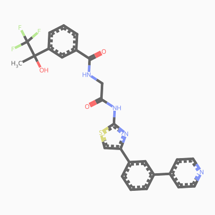 CC(O)(c1cccc(C(=O)NCC(=O)Nc2nc(-c3cccc(-c4ccncc4)c3)cs2)c1)C(F)(F)F